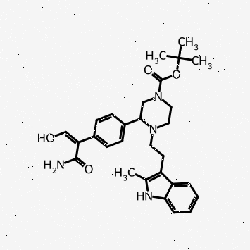 Cc1[nH]c2ccccc2c1CCN1CCN(C(=O)OC(C)(C)C)CC1c1ccc(C(=CO)C(N)=O)cc1